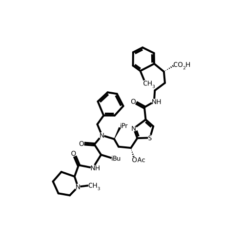 CCC(C)C(NC(=O)C1CCCCN1C)C(=O)N(Cc1ccccc1)[C@H](C[C@@H](OC(C)=O)c1nc(C(=O)NCC[C@@H](C(=O)O)c2ccccc2C)cs1)C(C)C